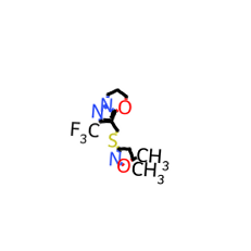 CC1(C)CC(SCc2c(C(F)(F)F)nn3c2OCCC3)=NO1